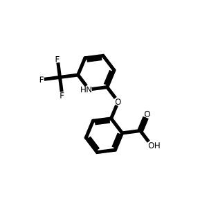 O=C(O)c1ccccc1OC1=CC=CC(C(F)(F)F)N1